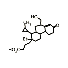 CCC1(CCCC(=O)O)CCC2C3CCC(=O)C=C3C(CO)CC2C1C1CC1C